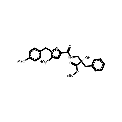 CCCCOC(=O)[C@@](O)(CNC(=O)c1cc(C(=O)O)n(Cc2ccc(OC)cc2)n1)Cc1ccccc1